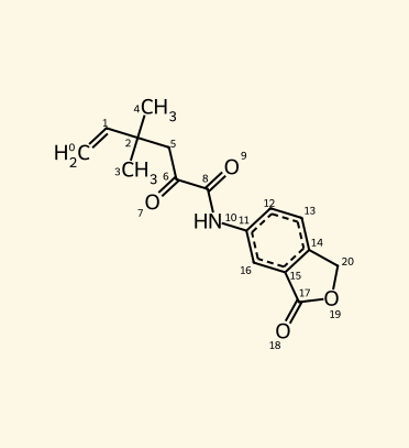 C=CC(C)(C)CC(=O)C(=O)Nc1ccc2c(c1)C(=O)OC2